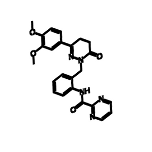 COc1ccc(C2=NN(Cc3ccccc3NC(=O)c3ncccn3)C(=O)CC2)cc1OC